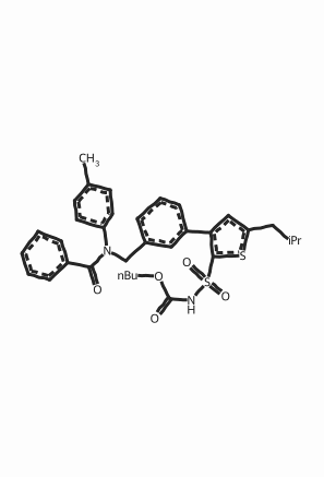 CCCCOC(=O)NS(=O)(=O)c1sc(CC(C)C)cc1-c1cccc(CN(C(=O)c2ccccc2)c2ccc(C)cc2)c1